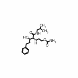 CC(C)CNC(=O)C(NCCOC(N)=O)C(O)[CH]Cc1ccccc1